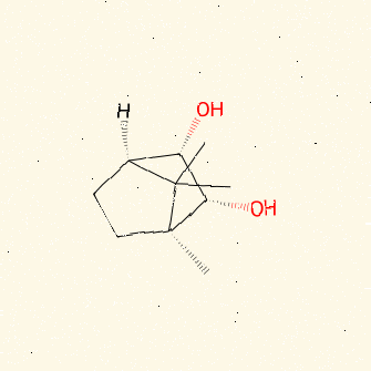 CC1(C)[C@H]2CC[C@]1(C)[C@@H](O)[C@H]2O